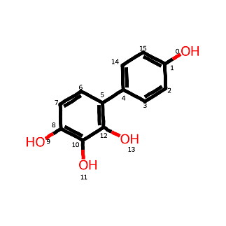 Oc1ccc(-c2ccc(O)c(O)c2O)cc1